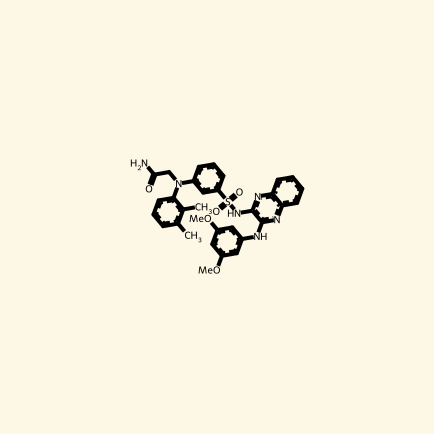 COc1cc(Nc2nc3ccccc3nc2NS(=O)(=O)c2cccc(N(CC(N)=O)c3cccc(C)c3C)c2)cc(OC)c1